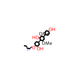 C=C/C=C\COc1ccc(-c2c(OC)cc(-c3ccc(O)cc3)c(OC)c2O)cc1O